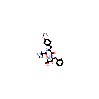 COc1ccc(CC(NC(=O)C(C)(C)N)C(=O)NC(Cc2ccccc2)C(=O)C2(C)CO2)cc1